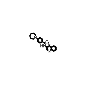 O=C(Nc1cnc2ccccc2c1Cl)c1ccc(N2CCCCCC2)cc1